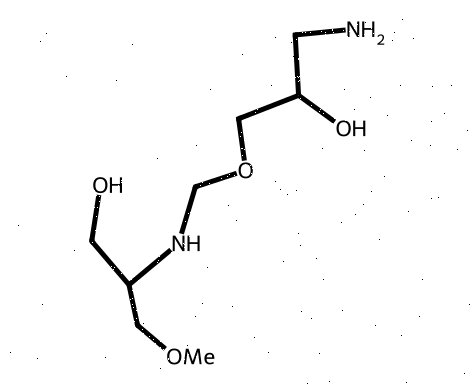 COCC(CO)NCOCC(O)CN